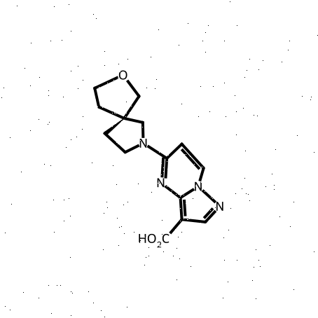 O=C(O)c1cnn2ccc(N3CC[C@]4(CCOC4)C3)nc12